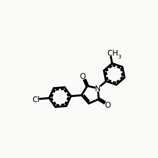 Cc1cccc(N2C(=O)C=C(c3ccc(Cl)cc3)C2=O)c1